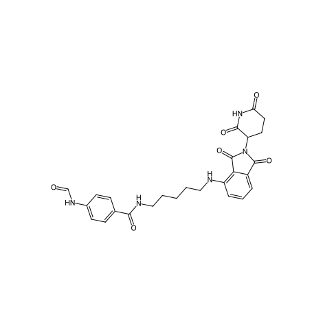 O=CNc1ccc(C(=O)NCCCCCNc2cccc3c2C(=O)N(C2CCC(=O)NC2=O)C3=O)cc1